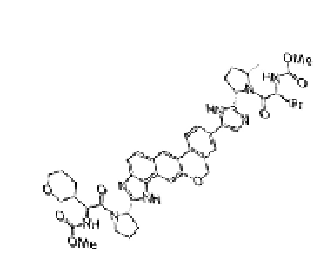 COC(=O)N[C@H](C(=O)N1[C@@H](C)CC[C@H]1c1ncc(-c2ccc3c(c2)COc2cc4c(ccc5nc([C@@H]6CCCN6C(=O)[C@@H](NC(=O)OC)[C@@H]6CCCOC6)[nH]c54)cc2-3)[nH]1)C(C)C